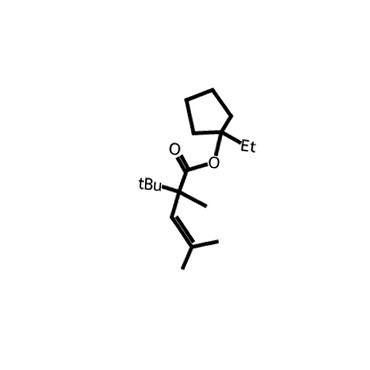 CCC1(OC(=O)C(C)(C=C(C)C)C(C)(C)C)CCCC1